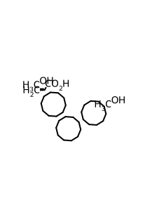 C1CCCCCCCCC1.C1CCCCCCCCC1.C1CCCCCCCCC1.C=CC(=O)O.CO.CO